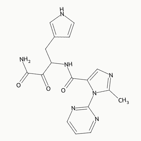 Cc1ncc(C(=O)NC(Cc2cc[nH]c2)C(=O)C(N)=O)n1-c1ncccn1